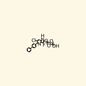 O[C@@H]1COC2C1OC[C@H]2Oc1[nH]c2cc(Cl)c(-c3ccc(-c4ccccc4)cc3)nc2c1F